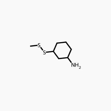 CSSC1CCCC(N)C1